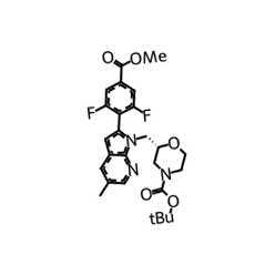 COC(=O)c1cc(F)c(-c2cc3cc(C)cnc3n2C[C@H]2CN(C(=O)OC(C)(C)C)CCO2)c(F)c1